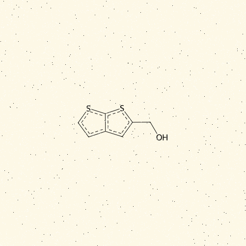 OCc1cc2ccsc2s1